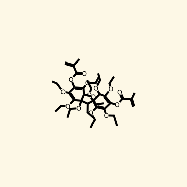 C=C(C)C(=O)OC1=C(OCC)C(OCC)C(OCC)(C(CC)C2(OCC)C(OCC)=C(OCC)C(OC(=O)C(=C)C)=C(OCC)C2OCC)C(OCC)=C1OCC